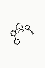 N#CN1CC[C@@H](N2CC=CN(c3cccc(-c4ccccc4)c3)S2(=O)=O)C1